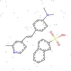 Cc1cc(C=Cc2ccc(N(C)C)cc2)ccn1.O=S(=O)(O)c1ccc2ccccc2c1